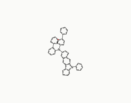 c1ccc(-c2ccc(N(c3ccc4cc5c(cc4c3)c3ccccc3n5-c3ccccc3)c3ccccc3-c3ccccc3)cc2)cc1